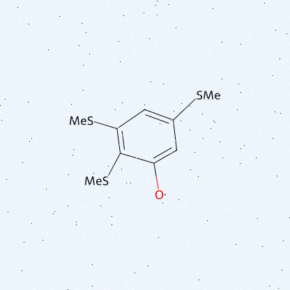 CSc1cc([O])c(SC)c(SC)c1